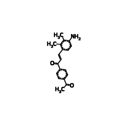 CC(=O)c1ccc(C(=O)C=Cc2ccc(N)c(C)c2C)cc1